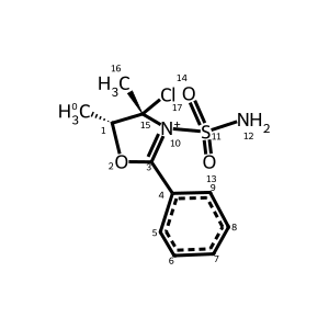 C[C@H]1OC(c2ccccc2)=[N+](S(N)(=O)=O)[C@@]1(C)Cl